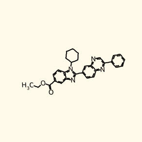 CCOC(=O)c1ccc2c(c1)nc(-c1ccc3nc(-c4ccccc4)cnc3c1)n2C1CCCCC1